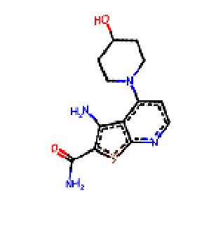 NC(=O)c1sc2nccc(N3CCC(O)CC3)c2c1N